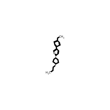 CCCC[C@H]1CC[C@H](c2ccc(-c3ccc(CC)cc3)cn2)CC1